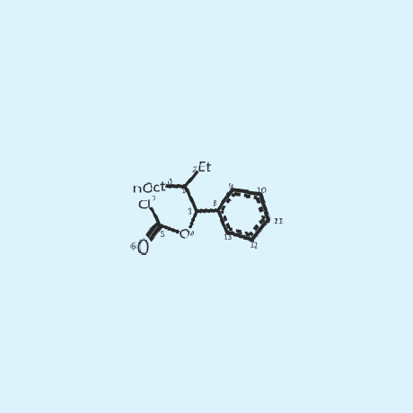 CCCCCCCCC(CC)C(OC(=O)Cl)c1ccccc1